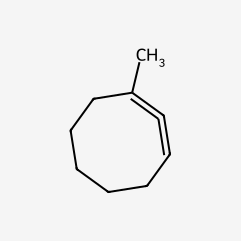 CC1=C=CCCCCC1